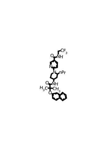 CCCC1CC(NC(=O)C(C)(C)Oc2ccc3ccccc3c2)CCN1c1ccc(C(=O)NCC(F)(F)F)cn1